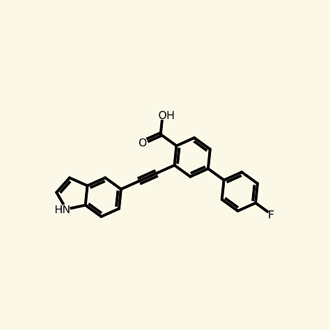 O=C(O)c1ccc(-c2ccc(F)cc2)cc1C#Cc1ccc2[nH]ccc2c1